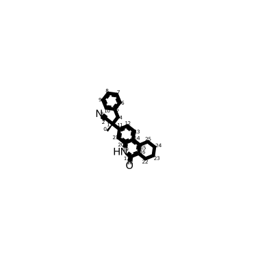 C[C@@](C#N)(Cc1ccccc1)c1ccc2c3c(c(=O)[nH]c2c1)CCCC3